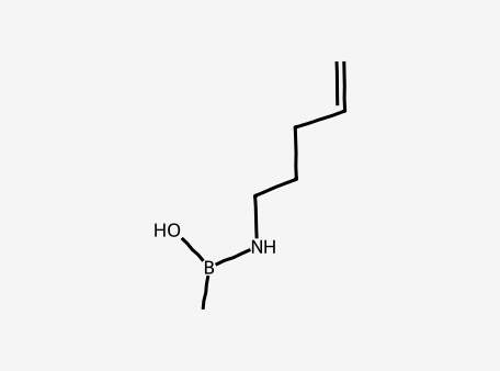 C=CCCCNB(C)O